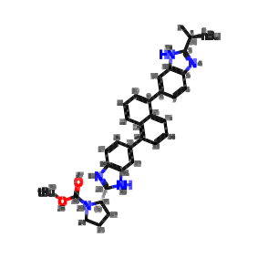 CCCC[C@H](C)c1nc2ccc(-c3cccc4c(-c5ccc6nc([C@@H]7CCCN7C(=O)OC(C)(C)C)[nH]c6c5)cccc34)cc2[nH]1